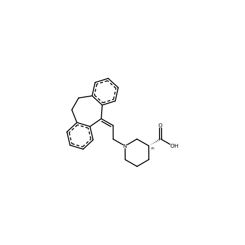 O=C(O)[C@@H]1CCCN(CC=C2c3ccccc3CCc3ccccc32)C1